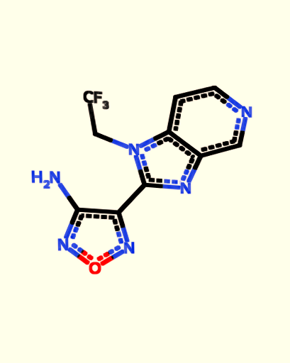 Nc1nonc1-c1nc2cnccc2n1CC(F)(F)F